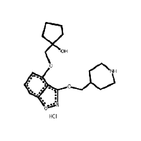 Cl.OC1(COc2cccc3onc(OCC4CCNCC4)c23)CCCC1